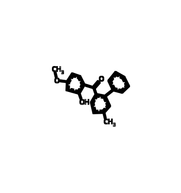 COc1ccc(C(=O)c2ccc(C)cc2-c2ccccc2)c(O)c1